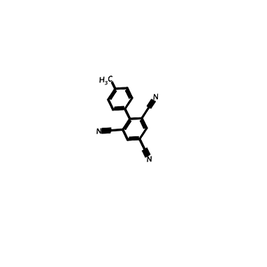 Cc1ccc(-c2c(C#N)cc(C#N)cc2C#N)cc1